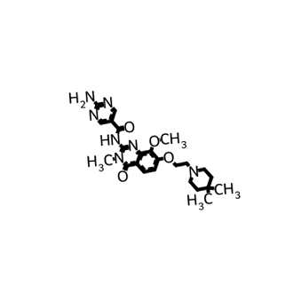 COc1c(OCCN2CCC(C)(C)CC2)ccc2c(=O)n(C)c(NC(=O)c3cnc(N)nc3)nc12